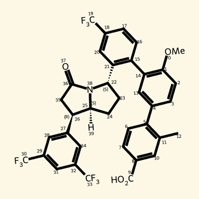 COc1ccc(-c2ccc(C(=O)O)cc2C)cc1-c1ccc(C(F)(F)F)cc1[C@@H]1CC[C@H]2[C@@H](c3cc(C(F)(F)F)cc(C(F)(F)F)c3)CC(=O)N12